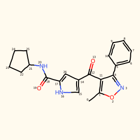 Cc1onc(-c2ccccc2)c1C(=O)c1c[nH]c(C(=O)NC2CCCC2)c1